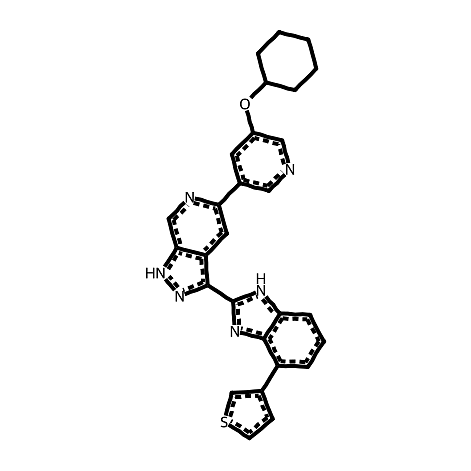 c1cc(-c2ccsc2)c2nc(-c3n[nH]c4cnc(-c5cncc(OC6CCCCC6)c5)cc34)[nH]c2c1